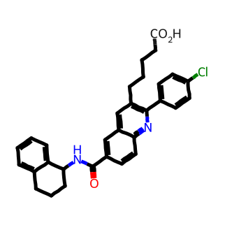 O=C(O)CCCCc1cc2cc(C(=O)NC3CCCc4ccccc43)ccc2nc1-c1ccc(Cl)cc1